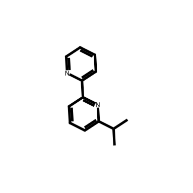 CC(C)c1cccc(-c2ccccn2)n1